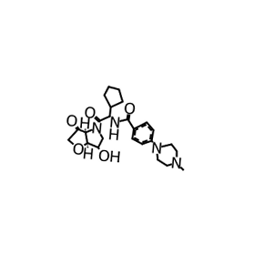 CN1CCN(c2ccc(C(=O)N[C@H](C(=O)N3C[C@@H](O)[C@H]4OCC(=O)[C@H]43)C3CCCC3)cc2)CC1